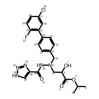 CC(C)OC(=O)C(O)CN(Cc1ccc(-c2cc(Cl)ccc2F)cc1)NC(=O)c1c[nH]nn1